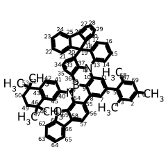 Cc1cc(C)c(-c2cc3c4c(c2)N2c5ccccc5C5(c6ccccc6-c6ccccc65)c5cccc(c52)B4N(c2ccc4c(c2)C(C)(C)CCC4(C)C)c2c-3ccc3c2oc2ccccc23)c(C)c1